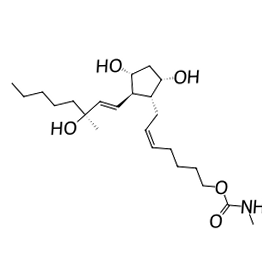 CCCCC[C@](C)(O)/C=C/[C@@H]1[C@@H](C/C=C\CCCCOC(=O)NC)[C@@H](O)C[C@H]1O